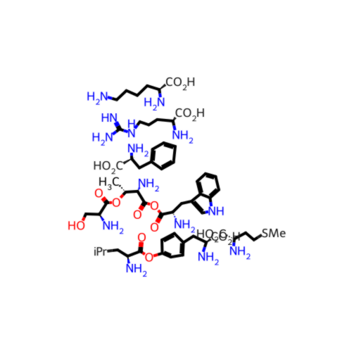 CC(C)C[C@H](N)C(=O)Oc1ccc(C[C@H](N)C(=O)O)cc1.CSCC[C@H](N)C(=O)O.C[C@@H](OC(=O)[C@@H](N)CO)[C@H](N)C(=O)OC(=O)[C@@H](N)Cc1c[nH]c2ccccc12.N=C(N)NCCC[C@H](N)C(=O)O.NCCCC[C@H](N)C(=O)O.N[C@@H](Cc1ccccc1)C(=O)O